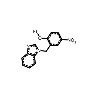 CCOc1ccc([N+](=O)[O-])cc1Cn1cnc2ccccc21